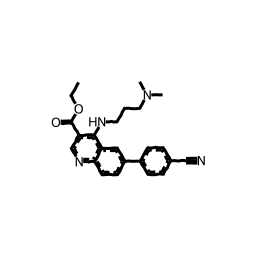 CCOC(=O)c1cnc2ccc(-c3ccc(C#N)cc3)cc2c1NCCCN(C)C